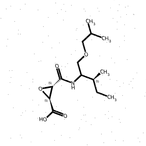 CC[C@H](C)C(COCC(C)C)NC(=O)[C@H]1O[C@@H]1C(=O)O